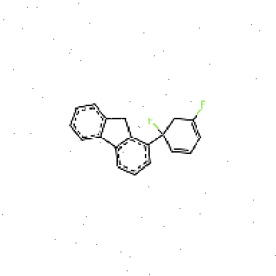 FC1=CC=CC(F)(c2cccc3c2Cc2ccccc2-3)C1